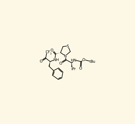 CC(C)[C@H](NC(=O)OC(C)(C)C)C(=O)N1CSC[C@H]1C(=O)N[C@@H](Cc1ccccc1)C(=O)C(F)(F)F